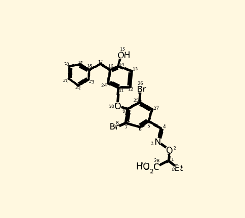 CCC(ON=Cc1cc(Br)c(Oc2ccc(O)c(Cc3ccccc3)c2)c(Br)c1)C(=O)O